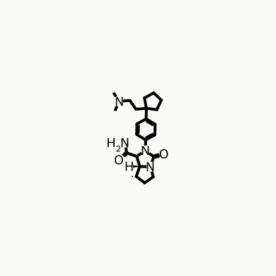 CN(C)CCC1(c2ccc(N3C(=O)N4CC[CH][C@@H]4C3C(N)=O)cc2)CCCC1